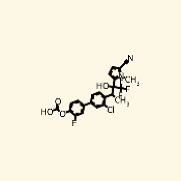 CC(c1ccc(-c2ccc(OC(=O)O)c(F)c2)cc1Cl)C(O)(c1ccc(C#N)n1C)C(F)(F)F